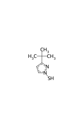 CC(C)(C)c1ccn(S)n1